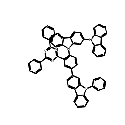 c1ccc(-c2nc(-c3ccccc3)nc(-c3cc(-c4ccc5c6ccccc6n(-c6ccccc6)c5c4)ccc3-n3c4ccccc4c4ccc(-n5c6ccccc6c6ccccc65)cc43)n2)cc1